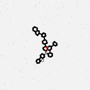 c1ccc(-c2cccc(-c3ccccc3N(c3ccc(-c4ccc(-c5cccc(-c6ccc7ccccc7c6)c5)cc4)cc3)c3ccc4c(c3)oc3ccccc34)c2)cc1